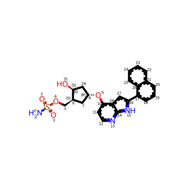 NS(=O)(=O)OC[C@@H]1C[C@@H](Oc2ccnc3[nH]c(-c4cccc5ccccc45)cc23)C[C@@H]1O